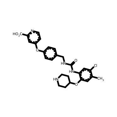 Cc1cc(OC2CCNCC2)c(NC(=O)NCc2ccc(Oc3ccnc(C(=O)O)c3)cc2)cc1Cl